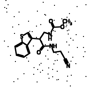 COC(=O)NCC(C(=O)NCCC#N)c1csc2ccccc12